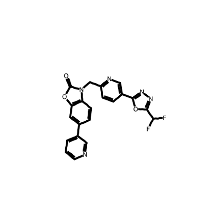 O=c1oc2cc(-c3cccnc3)ccc2n1Cc1ccc(-c2nnc(C(F)F)o2)cn1